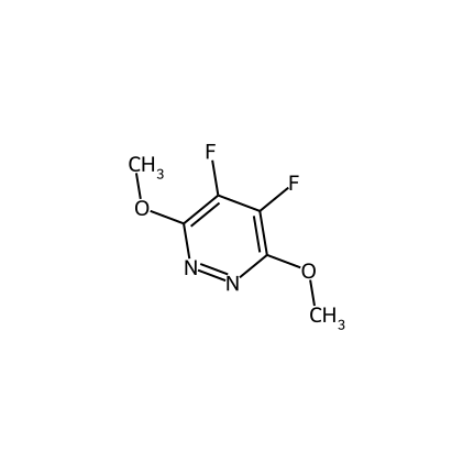 COc1nnc(OC)c(F)c1F